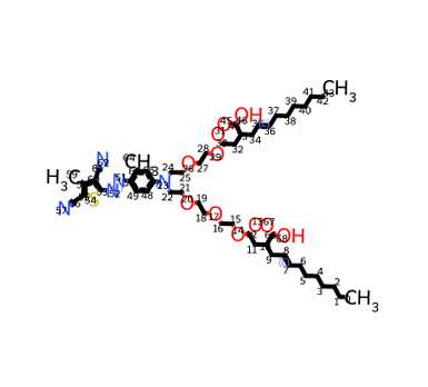 CCCCCCC/C=C/CC(CC(=O)OCCOCCOCCN(CCOCCOC(=O)CC(C/C=C/CCCCCCC)C(=O)O)c1ccc(/N=N/c2sc(C#N)c(C)c2C#N)c(C)c1)C(=O)O